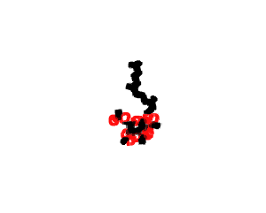 CC(=O)OC[C@H]1OC(OCC=C(C)CCCC(C)CCCC(C)C)[C@H](OC(C)=O)[C@@H](OC(C)=O)[C@@H]1OC(C)=O